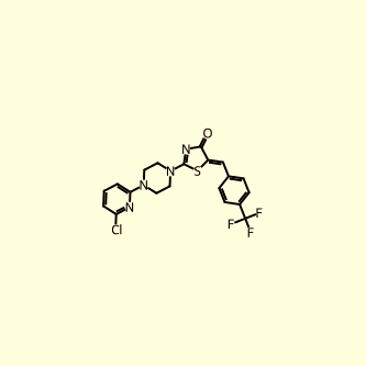 O=C1N=C(N2CCN(c3cccc(Cl)n3)CC2)S/C1=C\c1ccc(C(F)(F)F)cc1